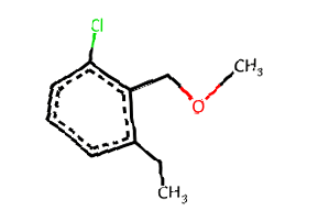 CCc1cccc(Cl)c1COC